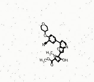 COC(=O)c1cc(O)c(-c2cc3nccc(-c4ccc(OC5CCOCC5)c(C#N)c4)c3o2)n1C